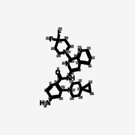 Nc1ccc(C(=O)Nc2cc3cccnc3c(N3CCC(F)(F)CC3)n2)c(N2CCC3(CC2)CC3)c1